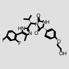 Cc1nc([C@H](C(C)C)N2C(=O)N[C@H](c3ccc(OCCO)cc3)C2=O)[nH]c1-c1ccc(I)cc1F